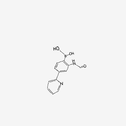 O=CNc1cc(-c2ccccn2)ccc1B(O)O